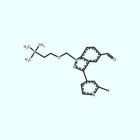 C[Si](C)(C)CCOCn1nc(-c2ccnc(F)c2)c2cc(C=O)ccc21